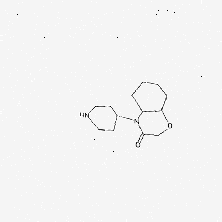 O=C1COC2CCCCC2N1C1CCNCC1